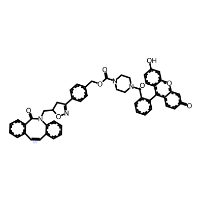 O=C(OCc1ccc(C2=NOC(CN3C(=O)c4ccccc4/C=C\c4ccccc43)C2)cc1)N1CCN(C(=O)c2ccccc2-c2c3ccc(=O)cc-3oc3cc(O)ccc23)CC1